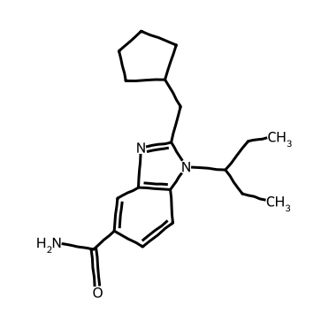 CCC(CC)n1c(CC2CCCC2)nc2cc(C(N)=O)ccc21